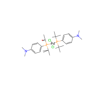 CN(C)c1ccc([P+](C(C)(C)C)(C(C)(C)C)[Pd]([Cl])([Cl])[P+](c2ccc(N(C)C)cc2)(C(C)(C)C)C(C)(C)C)cc1